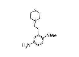 CNc1ccc(N)cc1CCN1CCSCC1